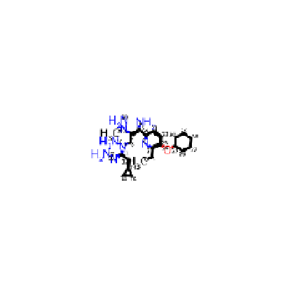 CCc1nc(/C(N)=C(\CN(N)/C(CC2CC2)=N\N)N(C)N)ccc1OC1CCCCC1